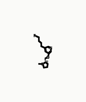 CN1CCC[C@H]1COc1cncc(CCCCF)c1